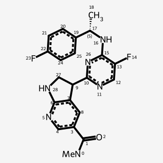 CNC(=O)c1cnc2c(c1)C(c1ncc(F)c(N[C@@H](C)c3ccc(F)cc3)n1)CN2